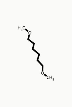 COCCCCCCOC